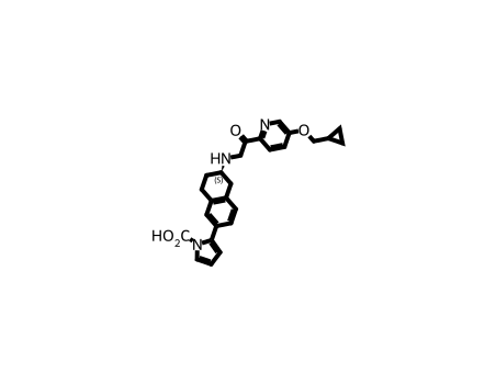 O=C(CN[C@H]1CCc2cc(-c3cccn3C(=O)O)ccc2C1)c1ccc(OCC2CC2)cn1